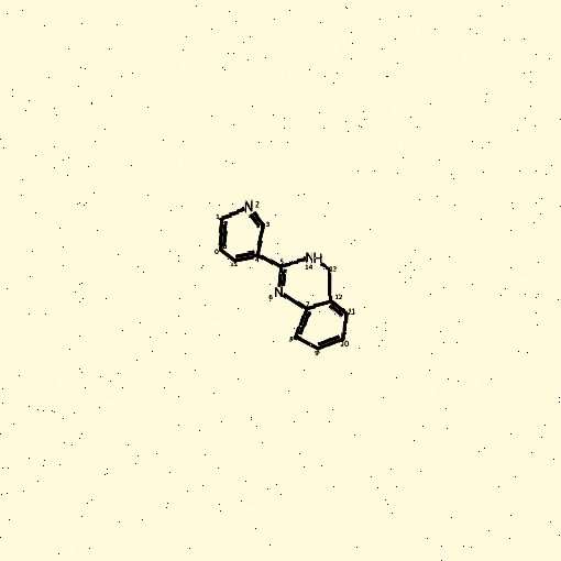 c1cncc(C2=Nc3ccccc3CN2)c1